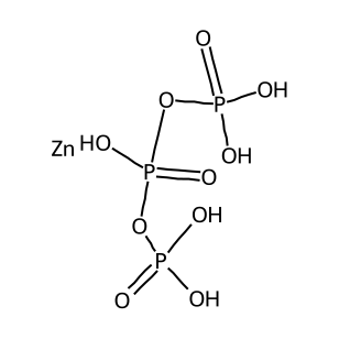 O=P(O)(O)OP(=O)(O)OP(=O)(O)O.[Zn]